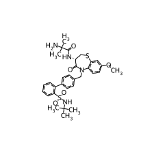 COc1ccc2c(c1)SC[C@@H](NC(=O)C(C)(C)N)C(=O)N2Cc1ccc(-c2ccccc2S(=O)(=O)NC(C)(C)C)cc1